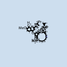 COc1ccc2c(O[C@@H]3C[C@H]4C(=O)N[C@]5(C(=O)[N-]S(=O)(=O)C6CC6)CC5/C=C\CCCCN(C)C(=O)[C@@H]4C3)cc(-c3nc(C(C)C)cs3)nc2c1C.[Na+]